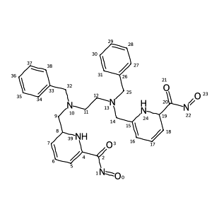 O=NC(=O)C1=CC=CC(CN(CCN(CC2=CC=CC(C(=O)N=O)N2)Cc2ccccc2)Cc2ccccc2)N1